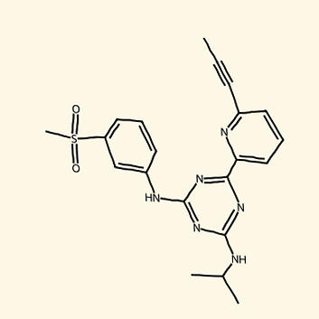 CC#Cc1cccc(-c2nc(Nc3cccc(S(C)(=O)=O)c3)nc(NC(C)C)n2)n1